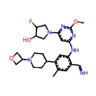 COc1nc(Nc2cc(C3CCN(C4COC4)CC3)c(C)cc2C=N)cc(N2CC(O)C(F)C2)n1